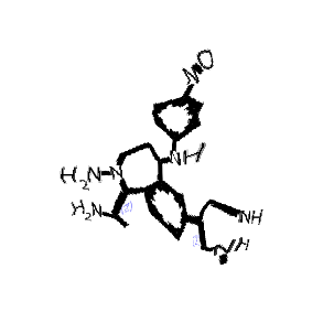 CN/C=C(\C=N)c1ccc2c(c1)C(Nc1ccc(N=O)cc1)CCN(N)/C2=C(/C)N